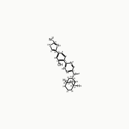 CN(c1cnc(-c2ccc(-c3csc(C#N)n3)cc2O)nn1)[C@@H]1C[C@H]2CCC[C@@H](C1)N2